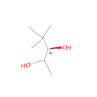 CC(O)[C@H](O)C(C)(C)C